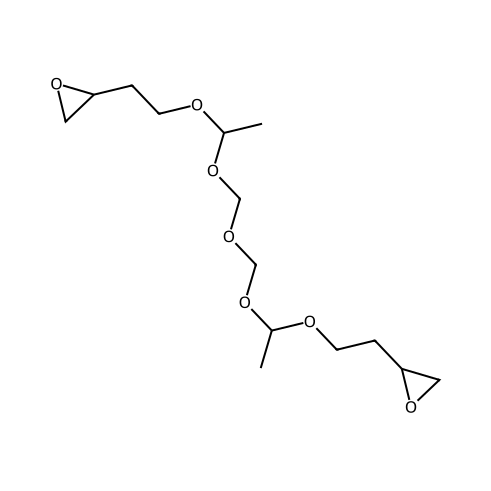 CC(OCCC1CO1)OCOCOC(C)OCCC1CO1